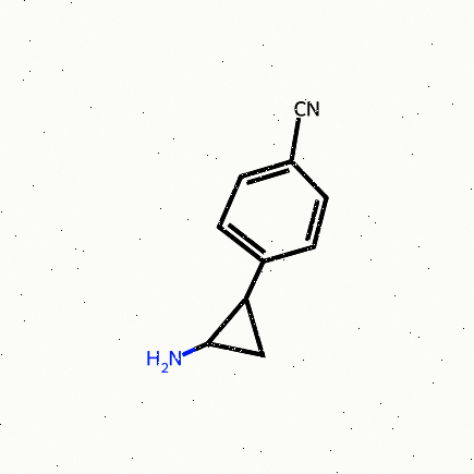 N#Cc1ccc(C2CC2N)cc1